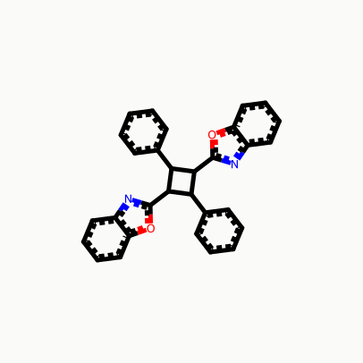 c1ccc(C2C(c3nc4ccccc4o3)C(c3ccccc3)C2c2nc3ccccc3o2)cc1